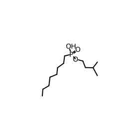 CCCCCCCCP(=O)(O)OCCC(C)C